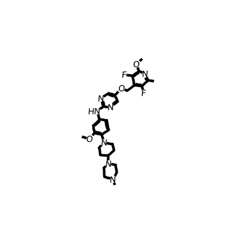 COc1cc(Nc2ncc(OCc3c(F)c(C)nc(OC)c3F)cn2)ccc1N1CCC(N2CCN(C)CC2)CC1